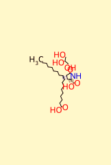 CCCCCCCC/C=C\CCCCCCCC(=O)O.O=C1CC[C@@H](C(=O)O)N1.OCC(O)CO